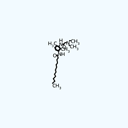 CCCCCCCCCCCCCC(=O)Nc1ccc(C)c(NC(=O)CN(CC)CC)c1C